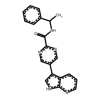 CC(NC(=O)c1ncc(-c2c[nH]c3ncccc23)cn1)c1ccccc1